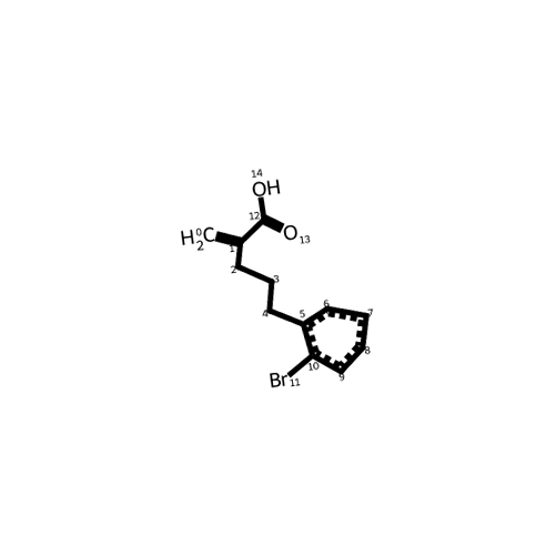 C=C(CCCc1ccccc1Br)C(=O)O